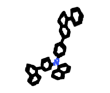 c1ccc(-c2cccc3cc(-c4ccc(N(c5ccc(-c6cccc7ccccc67)cc5)c5cccc6ccccc56)cc4)ccc23)cc1